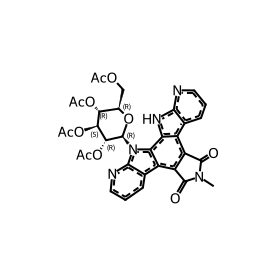 CC(=O)OC[C@H]1O[C@@H](n2c3ncccc3c3c4c(c5c6cccnc6[nH]c5c32)C(=O)N(C)C4=O)[C@H](OC(C)=O)[C@@H](OC(C)=O)[C@@H]1OC(C)=O